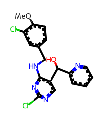 COc1ccc(CNc2nc(Cl)ncc2C(O)c2ccccn2)cc1Cl